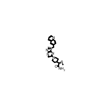 CN(C)C(C(N)=O)C1CCN(c2cnc3nnn(Cc4ccc5ncccc5c4)c3n2)CC1